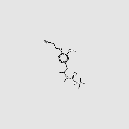 COc1cc(CC(C)N(C)C(=O)OC(C)(C)C)ccc1OCCBr